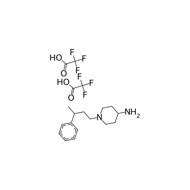 CC(CCN1CCC(N)CC1)c1ccccc1.O=C(O)C(F)(F)F.O=C(O)C(F)(F)F